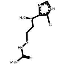 CCc1[nH]cnc1N(C)CCSNC(=O)NC